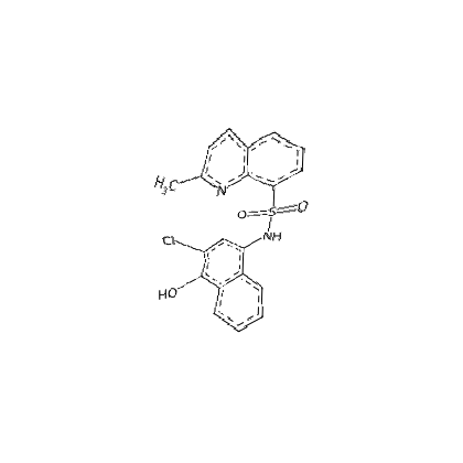 Cc1ccc2cccc(S(=O)(=O)Nc3cc(Cl)c(O)c4ccccc34)c2n1